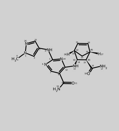 Cn1cc(Nc2ncc(C(N)=O)c(N[C@@H]3[C@H](C(N)=O)[C@H]4C=C[C@@H]3C4)n2)cn1